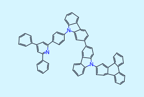 c1ccc(-c2cc(-c3ccccc3)nc(-c3ccc(-n4c5ccccc5c5ccc(-c6ccc7c(c6)c6ccccc6n7-c6ccc7c8ccccc8c8ccccc8c7c6)cc54)cc3)c2)cc1